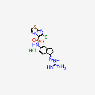 Cl.N=C(N)N/N=C1\CCc2cc(NS(=O)(=O)c3c(Cl)nc4sccn34)ccc21